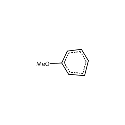 [CH2-][OH+]c1ccccc1